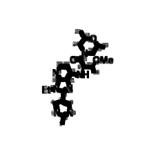 CCn1c(-c2cnc(C)nc2)nc2c(N[C@H](C(=O)N3CC(C)OC(C)C3)[C@H](C)OC)ccnc21